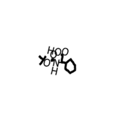 CC(C)(C)OC(=O)N[C@@H](C(=O)O)C1CCCCC1